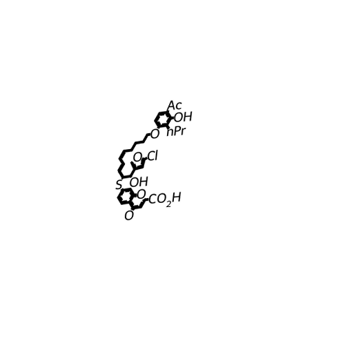 CCCc1c(OCCCC/C=C\C=C\[C@H](Sc2ccc3c(=O)cc(C(=O)O)oc3c2)[C@H](O)c2coc(Cl)c2)ccc(C(C)=O)c1O